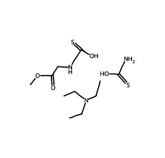 CCN(CC)CC.COC(=O)CNC(O)=S.NC(O)=S